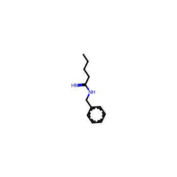 CCCCC(=N)NCc1ccccc1